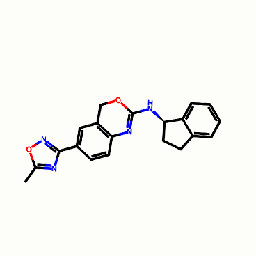 Cc1nc(-c2ccc3c(c2)COC(N[C@@H]2CCc4ccccc42)=N3)no1